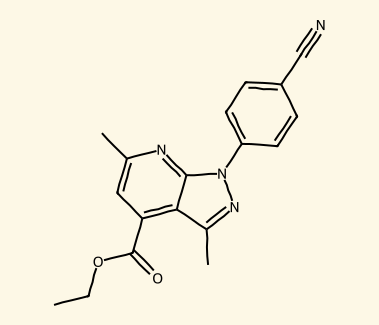 CCOC(=O)c1cc(C)nc2c1c(C)nn2-c1ccc(C#N)cc1